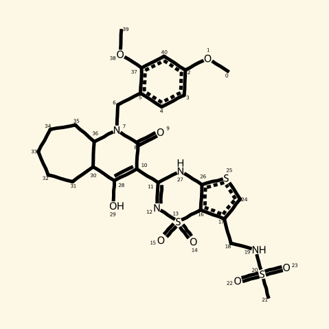 COc1ccc(CN2C(=O)C(C3=NS(=O)(=O)c4c(CNS(C)(=O)=O)csc4N3)=C(O)C3CCCCCC32)c(OC)c1